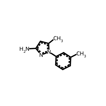 Cc1cccc(-n2nc(N)cc2C)c1